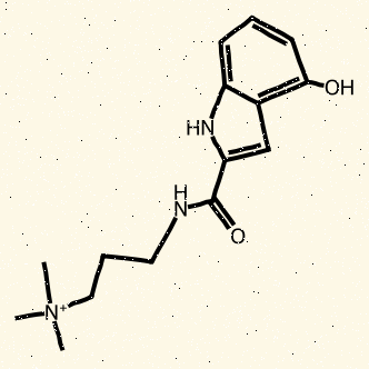 C[N+](C)(C)CCCNC(=O)c1cc2c(O)cccc2[nH]1